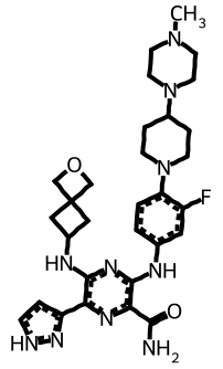 CN1CCN(C2CCN(c3ccc(Nc4nc(NC5CC6(COC6)C5)c(-c5cc[nH]n5)nc4C(N)=O)cc3F)CC2)CC1